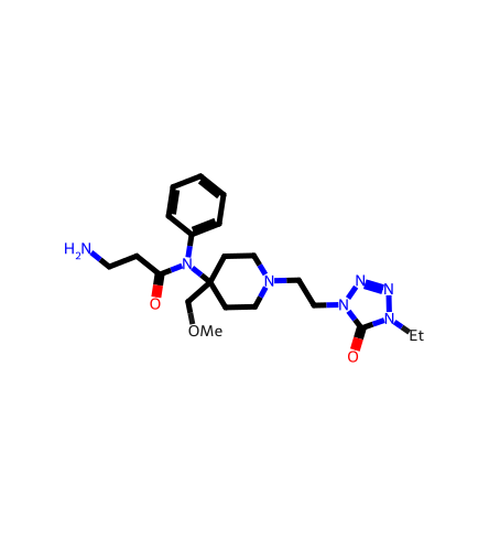 CCn1nnn(CCN2CCC(COC)(N(C(=O)CCN)c3ccccc3)CC2)c1=O